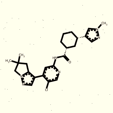 Cn1cc([C@H]2CCC[C@@H](C(=O)Nc3cc(-c4cnn5c4CC(C)(C)C5)c(Cl)cn3)C2)cn1